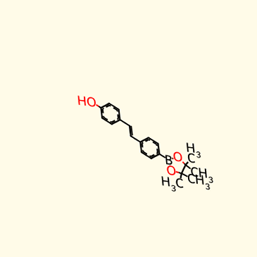 CC1(C)OB(c2ccc(C=Cc3ccc(O)cc3)cc2)OC1(C)C